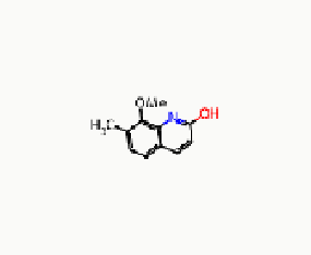 COc1c(C)ccc2ccc(O)nc12